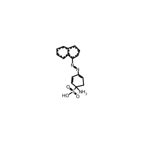 NC1(S(=O)(=O)O)C=CC(N=Nc2cccc3ccccc23)=CC1